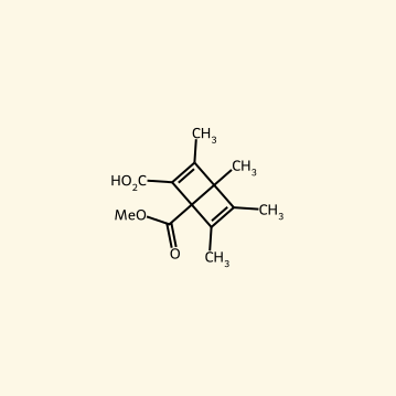 COC(=O)C12C(C)=C(C)C1(C)C(C)=C2C(=O)O